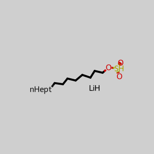 CCCCCCCCCCCCCCCO[SH](=O)=O.[LiH]